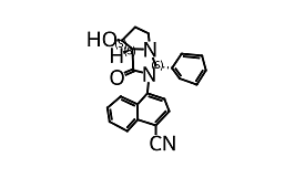 N#Cc1ccc(N2C(=O)[C@@H]3[C@@H](O)CCN3[C@@H]2c2ccccc2)c2ccccc12